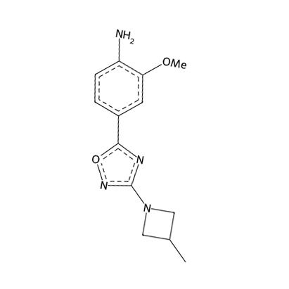 COc1cc(-c2nc(N3CC(C)C3)no2)ccc1N